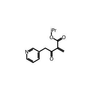 C=C(C(=O)Cc1cccnc1)C(=O)OC(C)C